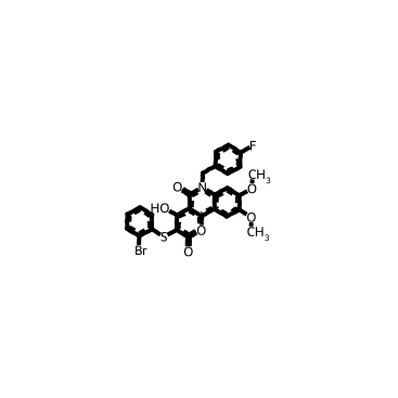 COc1cc2c3oc(=O)c(Sc4ccccc4Br)c(O)c3c(=O)n(Cc3ccc(F)cc3)c2cc1OC